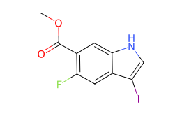 COC(=O)c1cc2[nH]cc(I)c2cc1F